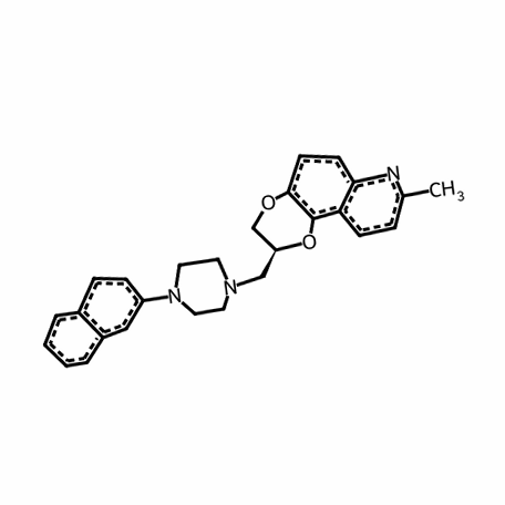 Cc1ccc2c3c(ccc2n1)OC[C@H](CN1CCN(c2ccc4ccccc4c2)CC1)O3